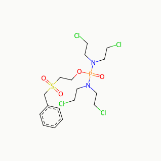 O=P(OCCS(=O)(=O)Cc1ccccc1)(N(CCCl)CCCl)N(CCCl)CCCl